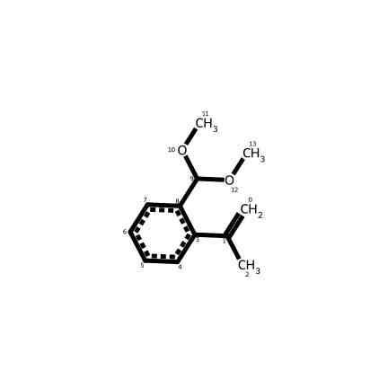 C=C(C)c1ccccc1C(OC)OC